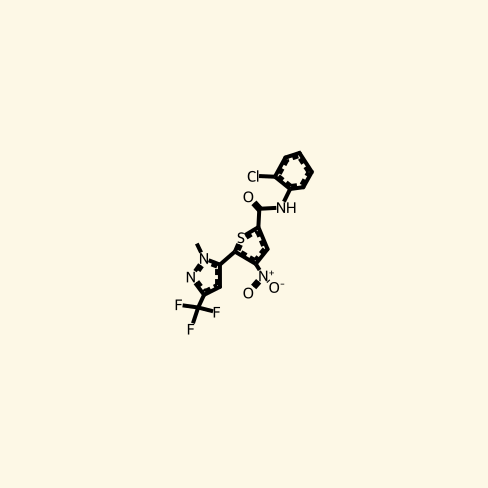 Cn1nc(C(F)(F)F)cc1-c1sc(C(=O)Nc2ccccc2Cl)cc1[N+](=O)[O-]